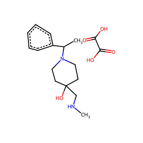 CNCC1(O)CCN(C(C)c2ccccc2)CC1.O=C(O)C(=O)O